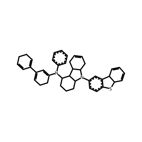 C1=CC2Sc3ccc(N4C5CC=CCC5C5C(N(C6=CC(C7=CCCC=C7)=CCC6)c6ccccc6)CCCC54)cc3C2C=C1